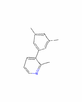 Cc1cc(C)cc(-c2cccnc2C)c1